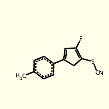 Cc1ccc(C2=CC(F)=C(SC#N)C2)cc1